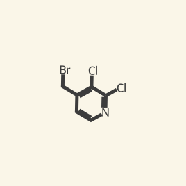 Clc1nccc(CBr)c1Cl